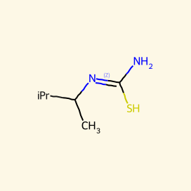 CC(C)C(C)/N=C(/N)S